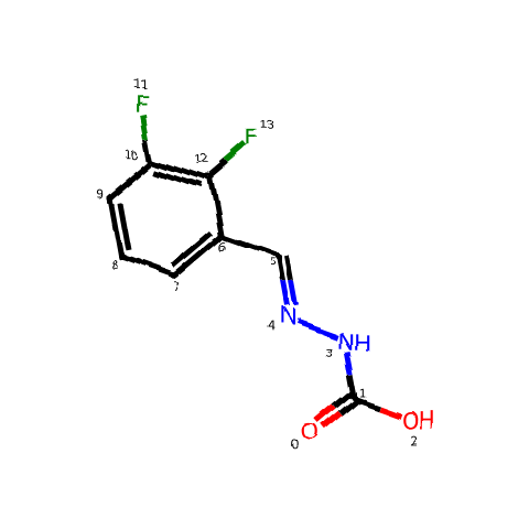 O=C(O)N/N=C/c1cccc(F)c1F